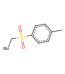 Cc1ccc(S(=O)(=O)CC(C)(C)C)cc1